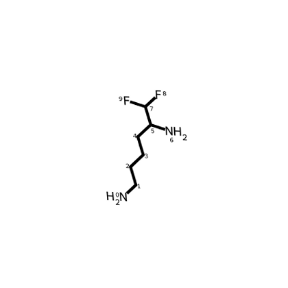 NCCCCC(N)C(F)F